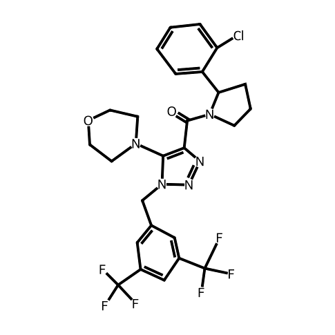 O=C(c1nnn(Cc2cc(C(F)(F)F)cc(C(F)(F)F)c2)c1N1CCOCC1)N1CCCC1c1ccccc1Cl